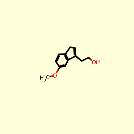 COc1ccc2c(c1)C(CCO)=CC2